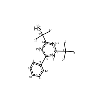 CC(C)(C)c1nc(-c2ccccc2)nc(C(C)(C)S)n1